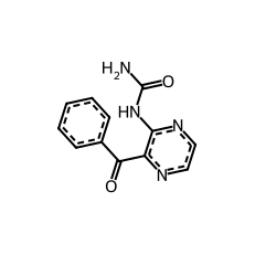 NC(=O)Nc1nccnc1C(=O)c1ccccc1